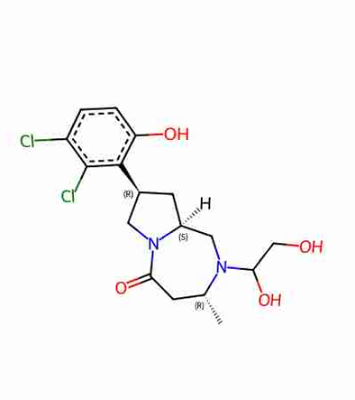 C[C@@H]1CC(=O)N2C[C@@H](c3c(O)ccc(Cl)c3Cl)C[C@H]2CN1C(O)CO